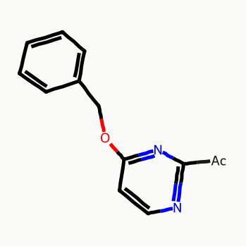 CC(=O)c1nccc(OCc2ccccc2)n1